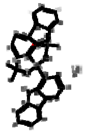 CC(C)(C)O[B-](OC(C)(C)C)(c1cccc2c1sc1ccccc12)c1cccc2c1sc1ccccc12.[LiH]